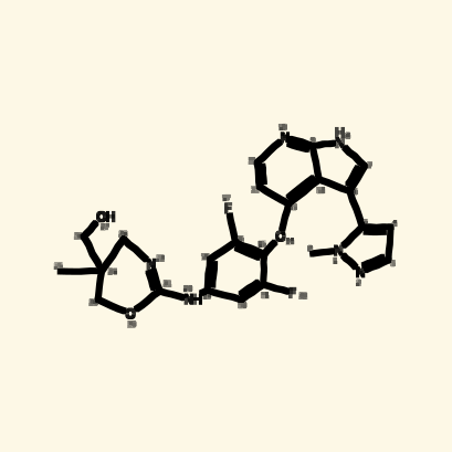 Cn1nccc1-c1c[nH]c2nccc(Oc3c(F)cc(NC4=NCC(C)(CO)CO4)cc3F)c12